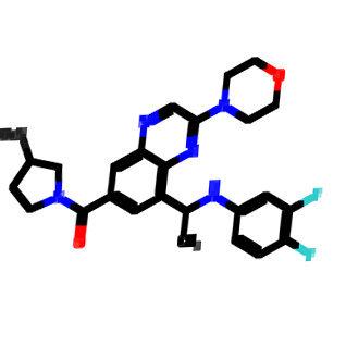 CNC1CCN(C(=O)c2cc(C(C)Nc3ccc(F)c(F)c3)c3nc(N4CCOCC4)cnc3c2)C1